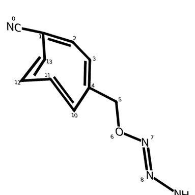 N#CC1=C/C=C(CON=NN)\C=C\C=C\1